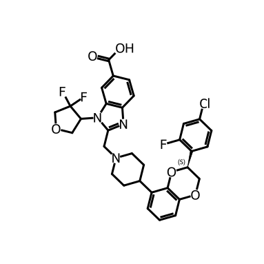 O=C(O)c1ccc2nc(CN3CCC(c4cccc5c4O[C@@H](c4ccc(Cl)cc4F)CO5)CC3)n(C3COCC3(F)F)c2c1